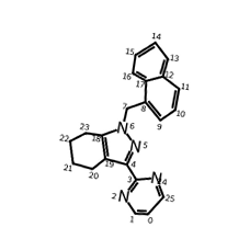 c1cnc(-c2nn(Cc3cccc4ccccc34)c3c2CCCC3)nc1